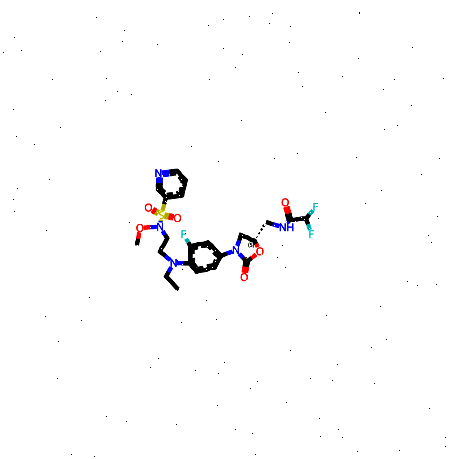 CCN(CCN(OC)S(=O)(=O)c1cccnc1)c1ccc(N2C[C@H](CNC(=O)C(F)F)OC2=O)cc1F